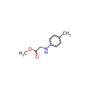 COC(=O)CNc1ccc(C)cc1